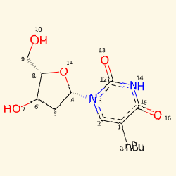 CCCCc1cn([C@@H]2CC(O)[C@H](CO)O2)c(=O)[nH]c1=O